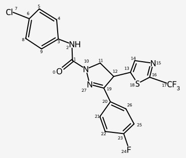 O=C(Nc1ccc(Cl)cc1)N1CC(c2cnc(C(F)(F)F)s2)C(c2ccc(F)cc2)=N1